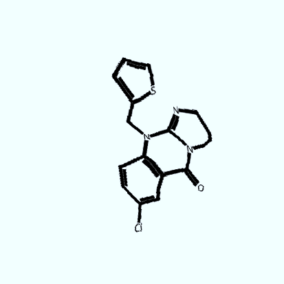 O=C1c2cc(Cl)ccc2N(Cc2cccs2)C2=NCCN12